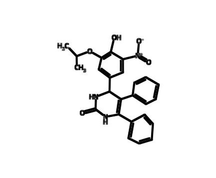 CC(C)Oc1cc(C2NC(=O)NC(c3ccccc3)=C2c2ccccc2)cc([N+](=O)[O-])c1O